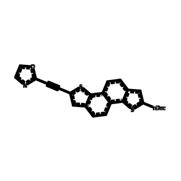 CCCCCCCCCCc1cc2ccc3c(ccc4cc(C#Cc5ncco5)sc43)c2s1